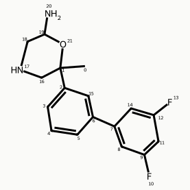 CC1(c2cccc(-c3cc(F)cc(F)c3)c2)CNCC(N)O1